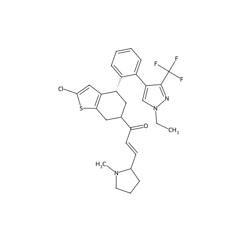 CCn1cc(-c2ccccc2[C@@H]2CC(C(=O)/C=C/C3CCCN3C)Cc3sc(Cl)cc32)c(C(F)(F)F)n1